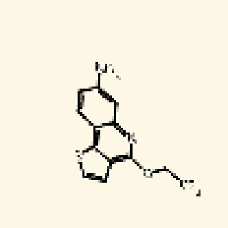 Nc1ccc2c(c1)nc(OCC(F)(F)F)c1ccsc12